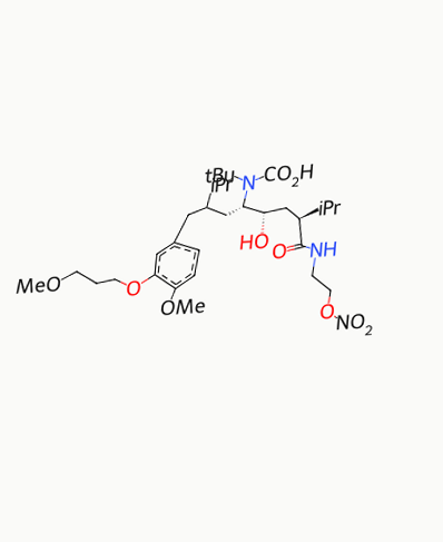 COCCCOc1cc(CC(C[C@@H]([C@@H](O)C[C@H](C(=O)NCCO[N+](=O)[O-])C(C)C)N(C(=O)O)C(C)(C)C)C(C)C)ccc1OC